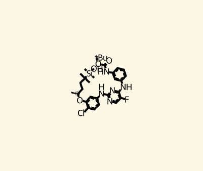 C[C@@H](CCC(C)(C)[Si](C)(C)O)Oc1cc(Nc2ncc(F)c(Nc3cccc(NC(=O)OC(C)(C)C)c3)n2)ccc1Cl